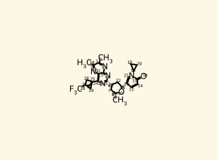 Cc1nc2nc([C@H]3C[C@@H](C)O[C@@H](c4ccc(=O)n(C5CC5)c4)C3)nc(C34CC(C(F)(F)F)(C3)C4)c2nc1C